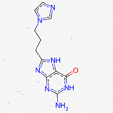 Nc1nc2nc(CCCn3ccnc3)[nH]c2c(=O)[nH]1